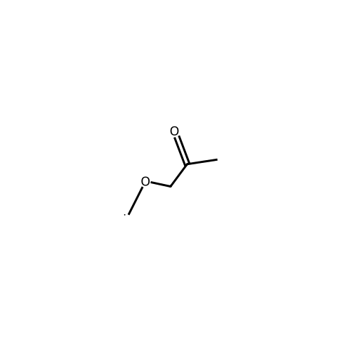 [CH2]OCC(C)=O